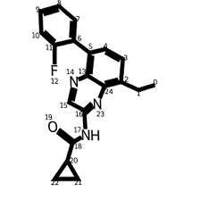 CCc1ccc(-c2ccccc2F)c2ncc(NC(=O)C3CC3)nc12